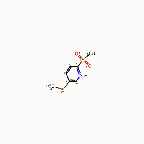 CSc1ccc(S(C)(=O)=O)nc1